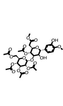 COC(=O)C[C@H]1O[C@H](c2ccc(OC)c(O)c2)[C@@H](O)[C@@H](O[C@H]2O[C@H](COC(C)=O)[C@@H](OC(C)=O)[C@@H](OC(C)=O)[C@H]2OC(C)=O)[C@@H]1OC(C)=O